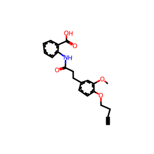 C#CCCOc1ccc(CCC(=O)Nc2ccccc2C(=O)O)cc1OC